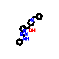 OC(c1cccc2nc(Nc3ccccc3)nn12)C1CCN(Cc2ccccc2)CC1